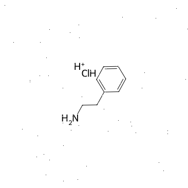 Cl.NCCc1ccccc1.[H+]